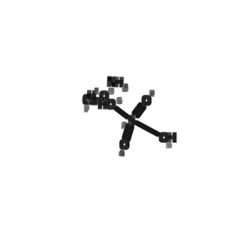 N.O.O=S(=O)(O)O.[Co]